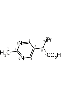 Cc1ncc([C@@H](C(=O)O)C(C)C)cn1